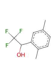 Cc1ccc(C)c(C(O)C(F)(F)F)c1